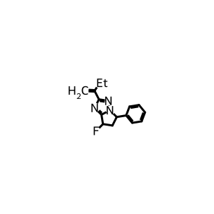 C=C(CC)c1nc2n(n1)C(c1ccccc1)CC2F